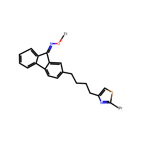 CCO/N=C1/c2ccccc2-c2ccc(CCCCc3csc(C(C)C)n3)cc21